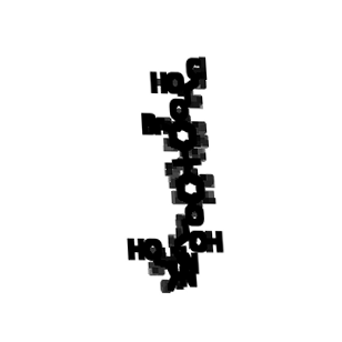 Cc1nnn(C[C@H](O)COc2ccc(C(C)(C)c3ccc(OC[C@@H](O)CCl)c(Br)c3)cc2)c1CO